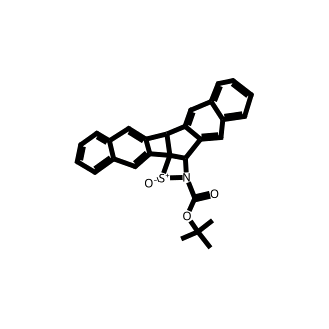 CC(C)(C)OC(=O)N1C2c3cc4ccccc4cc3C3c4cc5ccccc5cc4C32[S+]1[O-]